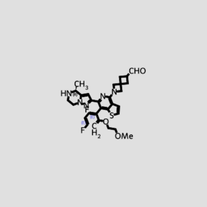 C=C(OCCOC)/C(=C(F)\C=C\F)c1c(-c2cc3n(n2)CCN[C@@H]3C)nc(N2CC3(CC(C=O)C3)C2)c2ccsc12